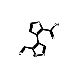 O=Cc1[nH]ncc1-c1ccsc1C(=O)O